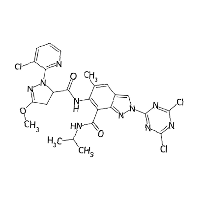 COC1=NN(c2ncccc2Cl)C(C(=O)Nc2c(C)cc3cn(-c4nc(Cl)nc(Cl)n4)nc3c2C(=O)NC(C)C)C1